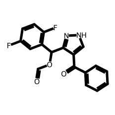 O=COC(c1cc(F)ccc1F)c1n[nH]cc1C(=O)c1ccccc1